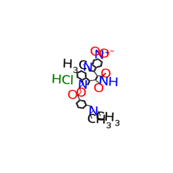 CCN(CC)Cc1cccc(C(=O)OCn2cc(C3=C(c4cn(C)c5cc([N+](=O)[O-])ccc45)C(=O)NC3=O)c3ccccc32)c1.Cl